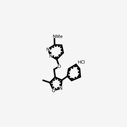 CNc1ccc(OCc2c(-c3ccccc3)noc2C)nn1.Cl